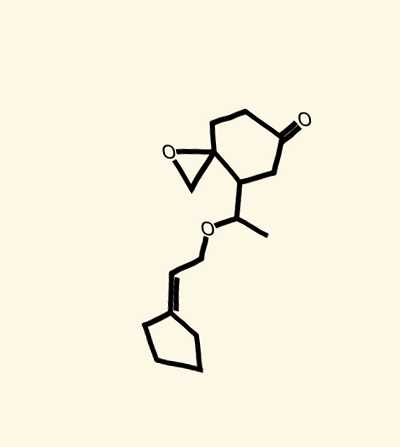 CC(OCC=C1CCCC1)C1CC(=O)CCC12CO2